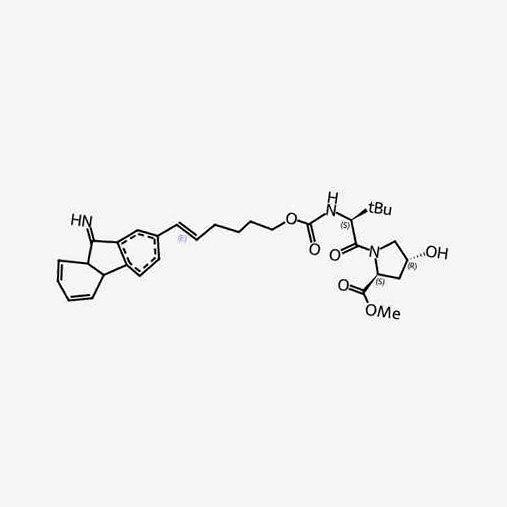 COC(=O)[C@@H]1C[C@@H](O)CN1C(=O)[C@@H](NC(=O)OCCCC/C=C/c1ccc2c(c1)C(=N)C1C=CC=CC21)C(C)(C)C